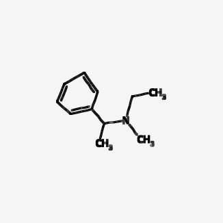 CCN(C)C(C)c1ccccc1